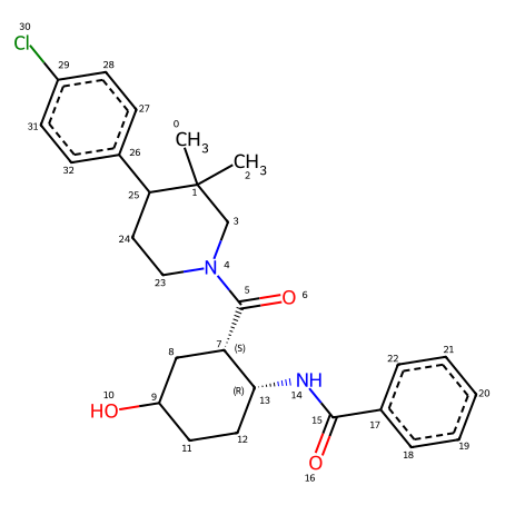 CC1(C)CN(C(=O)[C@H]2CC(O)CC[C@H]2NC(=O)c2ccccc2)CCC1c1ccc(Cl)cc1